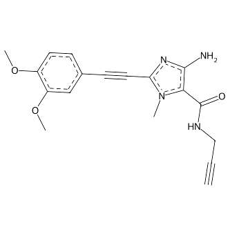 C#CCNC(=O)c1c(N)nc(C#Cc2ccc(OC)c(OC)c2)n1C